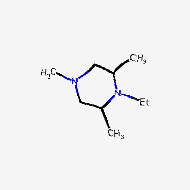 CCN1C(C)CN(C)CC1C